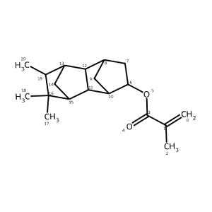 C=C(C)C(=O)OC1CC2CC1C1C2C2CC1C(C)(C)C2C